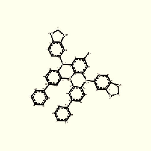 Cc1cc2c3c(c1)N(c1ccc4c(c1)OCO4)c1ccc(-c4ccccc4)cc1B3c1cc(-c3ccccc3)ccc1N2c1ccc2c(c1)OCO2